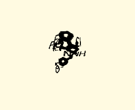 C[S+]([O-])c1ccc(Cc2nc3c(Cl)c(-c4ccccc4OC(F)(F)F)c(Cl)cc3[nH]2)cc1